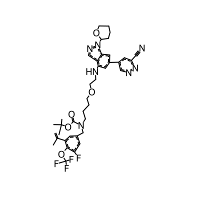 C=C(C)c1cc(CN(CCCCOCCNc2cc(-c3cnnc(C#N)c3)cc3c2cnn3C2CCCCO2)C(=O)OC(C)(C)C)cc(F)c1OC(F)(F)F